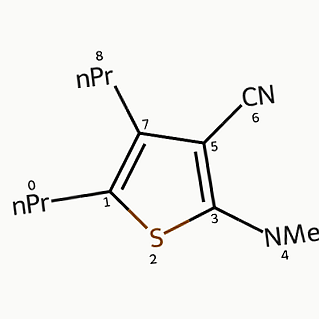 CCCc1sc(NC)c(C#N)c1CCC